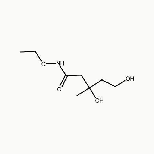 CCONC(=O)CC(C)(O)CCO